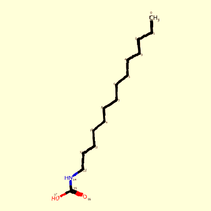 CCCCCCCCCCCCCCNC(=O)O